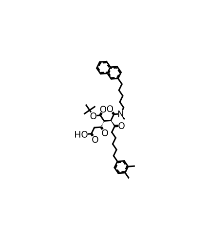 Cc1ccc(CCCCCC(=O)[C@H](C(=O)N(C)CCCCCc2ccc3ccccc3c2)[C@H](C(=O)CC(=O)O)C(=O)OC(C)(C)C)cc1C